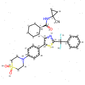 N#CC1(NC(=O)[C@@H]2CCCC[C@H]2c2nc(C(F)(F)c3ccccc3)sc2-c2ccc(N3CCS(=O)(=O)CC3)cc2)CC1